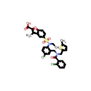 CCN(c1ccc(Cl)cc1CN(Cc1ccc(C)s1)C(=O)c1ccccc1Cl)S(=O)(=O)c1ccc2oc(C(=O)O)c(C)c2c1